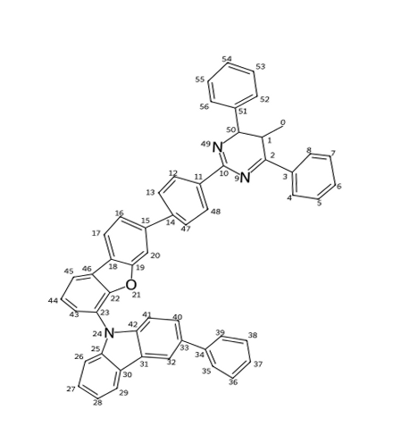 CC1C(c2ccccc2)=NC(c2ccc(-c3ccc4c(c3)oc3c(-n5c6ccccc6c6cc(-c7ccccc7)ccc65)cccc34)cc2)=NC1c1ccccc1